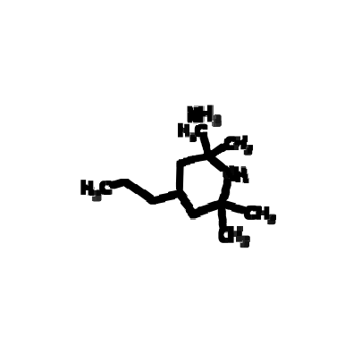 CCCC1CC(C)(C)NC(C)(C)C1.N